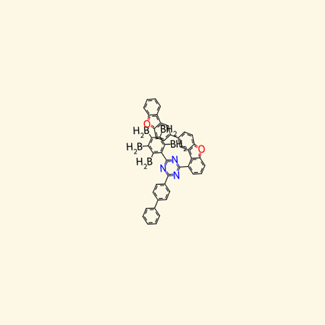 Bc1c(B)c(B)c(-c2nc(-c3ccc(-c4ccccc4)cc3)nc(-c3cccc4oc5ccc(-c6ccc7oc8ccccc8c7c6)cc5c34)n2)c(B)c1B